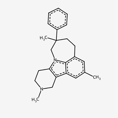 Cc1cc2c3c(c1)c1c(n3CC(C)(c3ccccc3)CC2)CCN(C)C1